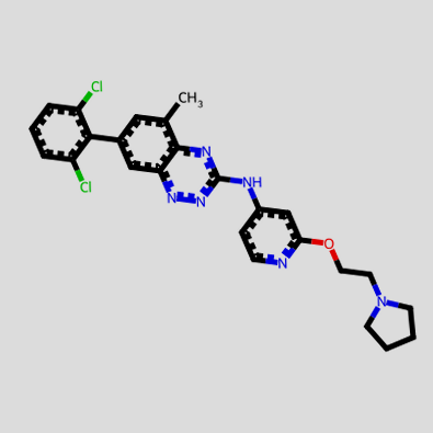 Cc1cc(-c2c(Cl)cccc2Cl)cc2nnc(Nc3ccnc(OCCN4CCCC4)c3)nc12